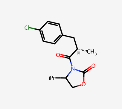 CC(C)C1COC(=O)N1C(=O)[C@@H](C)Cc1ccc(Cl)cc1